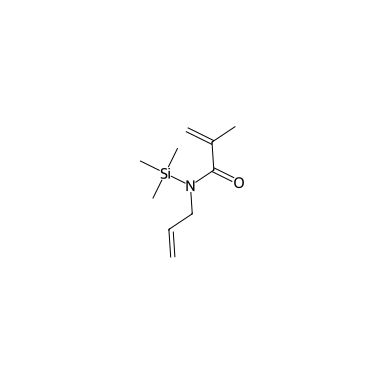 C=CCN(C(=O)C(=C)C)[Si](C)(C)C